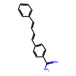 N=C(N)c1ccc(/C=C/C=C/c2ccccc2)cc1